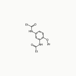 CCC(=O)Nc1ccc(OC(C)C)c(NC(=O)CC)c1